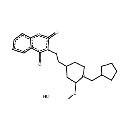 COC1CC(CCn2c(=O)oc3ccccc3c2=O)CCN1CC1CCCC1.Cl